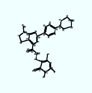 Cc1cc(C)n(C)c(=O)c1CNC(=O)c1cc(-c2ccc(N3CCNCC3)nc2)cc2c1CCN2C(C)C